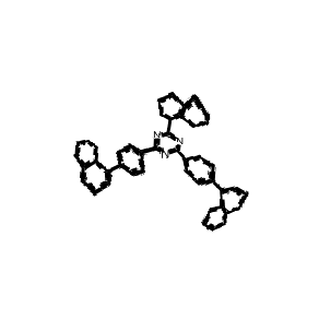 c1ccc2c(-c3ccc(-c4nc(-c5ccc(-c6cccc7ccccc67)cc5)nc(-c5cccc6ccccc56)n4)cc3)cccc2c1